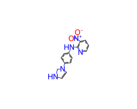 O=[N+]([O-])c1cccnc1Nc1ccc(N2C=CNC2)cc1